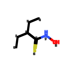 CCC(CC)C(=S)NO